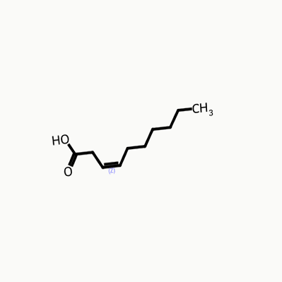 CCCCCC/C=C\CC(=O)O